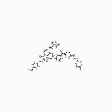 CC(C)CCC(=O)N(CCc1ccc(O)cc1)Cc1cccc(-c2cccc(C(=O)N3CCC(CCCC4CCNCC4)CC3)c2)c1.O=C(O)C(F)(F)F